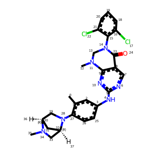 Cc1cc(Nc2ncc3c(n2)N(C)CN(c2c(Cl)cccc2Cl)C3=O)ccc1N1C[C@H]2C[C@@H]1CN2C